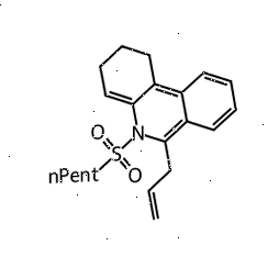 C=CCC1=c2ccccc2=C2CCCC=C2N1S(=O)(=O)CCCCC